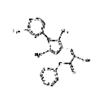 CC(=O)OC(=Cc1cc(C)n(-c2cccc(C)c2)c1C)C(=O)Oc1ccccc1